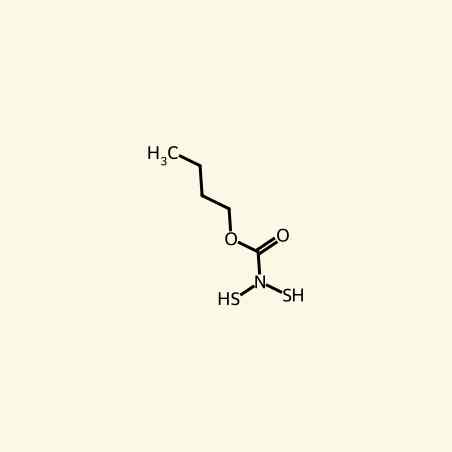 CCCCOC(=O)N(S)S